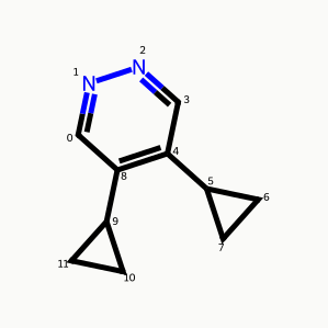 c1nncc(C2CC2)c1C1CC1